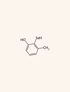 Cc1cccc(O)c1[SeH]